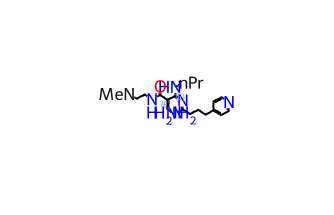 CCCNC(=N/C(N)CCCc1ccncc1)/C(=C\N)C(=O)NCCNC